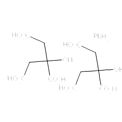 O=C(O)CC(O)(CC(=O)O)C(=O)O.O=C(O)CC(O)(CC(=O)O)C(=O)O.[PbH2]